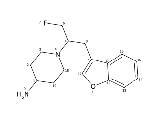 NC1CCN(C(CF)Cc2coc3ccccc23)CC1